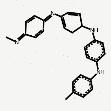 CN=C1C=CC(=NC2=CCC(Nc3ccc(Nc4ccc(C)cc4)cc3)C=C2)C=C1